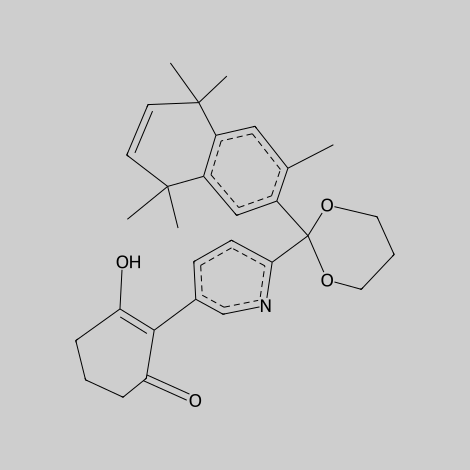 Cc1cc2c(cc1C1(c3ccc(C4=C(O)CCCC4=O)cn3)OCCCO1)C(C)(C)C=CC2(C)C